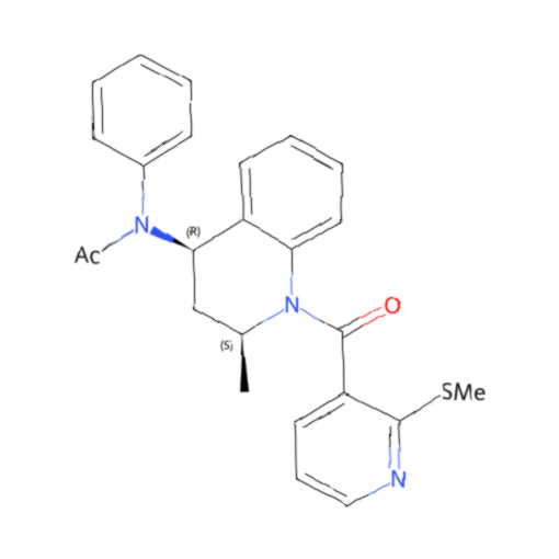 CSc1ncccc1C(=O)N1c2ccccc2[C@H](N(C(C)=O)c2ccccc2)C[C@@H]1C